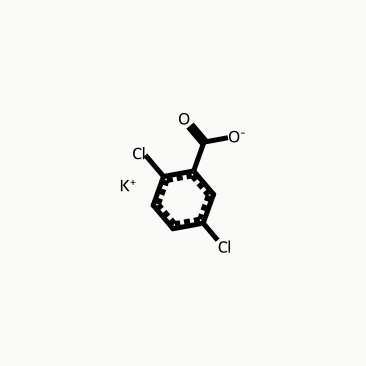 O=C([O-])c1cc(Cl)ccc1Cl.[K+]